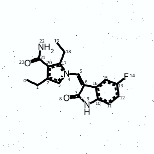 CCc1cn(/C=C2\C(=O)Nc3ccc(F)cc32)c(CC)c1C(N)=O